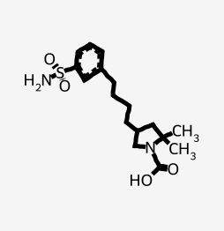 CC1(C)CC(CCCCc2cccc(S(N)(=O)=O)c2)CN1C(=O)O